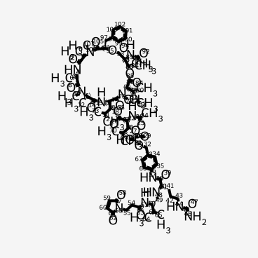 C=C1C(=O)N[C@@H](C)C(=O)N(C)[C@@H](C)C(=O)N[C@@H]([C@H](OC(=O)[C@@H](NC(C)=O)[C@H](OP(=O)(O)OCc2ccc(NC(=O)[C@H](CCCNC(N)=O)NC[C@@H](NC(=O)CCN3C(=O)C=CC3=O)C(C)C)cc2)C(C)C)C(C)C)C(=O)N(C)[C@@H]([C@@H](C)OC)C(=O)O[C@H](C)[C@H](NC(C)=O)C(=O)O[C@H](Cc2ccccc2)C(=O)N1C